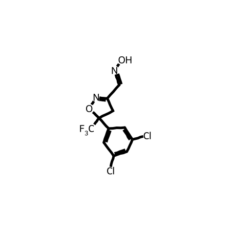 O/N=C/C1=NOC(c2cc(Cl)cc(Cl)c2)(C(F)(F)F)C1